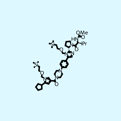 COC(=O)N[C@H](C(=O)N1CCC[C@H]1c1ncc(-c2ccc(N3CCN(C(=O)c4cc(C5CCCC5)n(COCC[Si](C)(C)C)c4)CC3)cc2)n1COCC[Si](C)(C)C)C(C)C